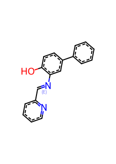 Oc1ccc(-c2ccccc2)cc1/N=C/c1ccccn1